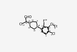 CCOc1c(Cl)ccc(N2CCN(C(Cl)C=O)CC2)c1F